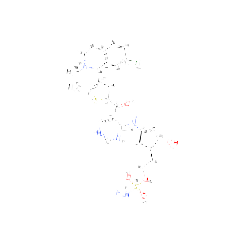 Cc1sc(C(=O)c2cncnc2NC2=C[C@H](O)[C@@H](CCOS(N)(=O)=O)C2)cc1[C@H]1c2cc(Cl)ccc2CCN1C